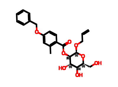 C=CCO[C@H]1O[C@H](CO)[C@@H](O)[C@H](O)[C@H]1OC(=O)c1ccc(OCc2ccccc2)cc1C